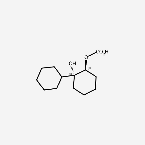 O=C(O)O[C@H]1CCCC[C@@]1(O)C1CCCCC1